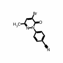 Cc1cc(Br)c(=O)n(-c2ccc(C#N)cc2)n1